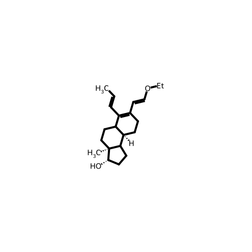 C/C=C/C1=C(/C=C/OCC)CC[C@@H]2C1CC[C@@]1(C)C2CC[C@@H]1O